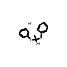 CC(O)(Oc1ccccc1)Oc1ccccc1.F